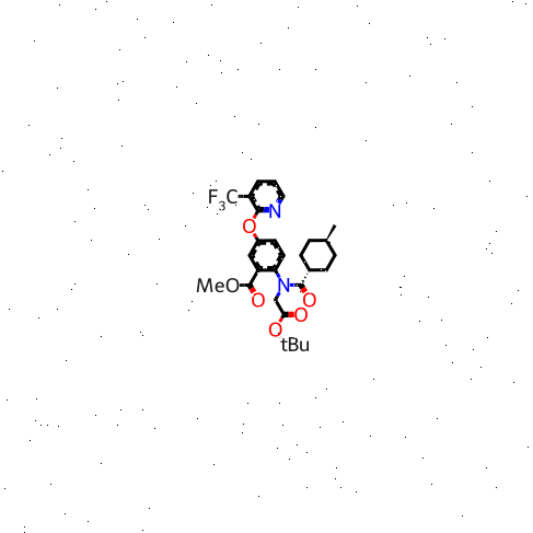 COC(=O)c1cc(Oc2ncccc2C(F)(F)F)ccc1N(CC(=O)OC(C)(C)C)C(=O)[C@H]1CC[C@H](C)CC1